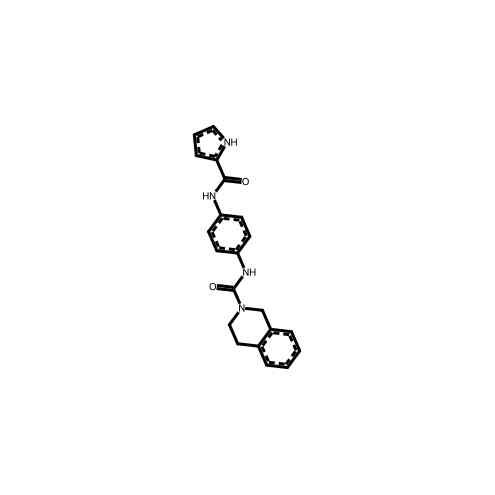 O=C(Nc1ccc(NC(=O)N2CCc3ccccc3C2)cc1)c1ccc[nH]1